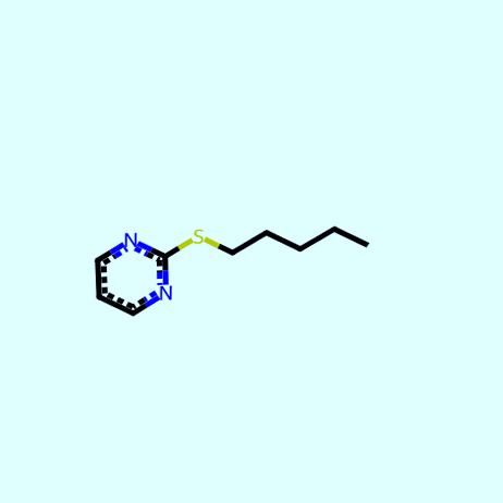 CCCCCSc1ncccn1